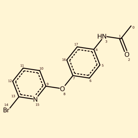 CC(=O)Nc1ccc(Oc2cccc(Br)n2)cc1